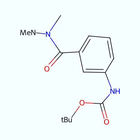 CNN(C)C(=O)c1cccc(NC(=O)OC(C)(C)C)c1